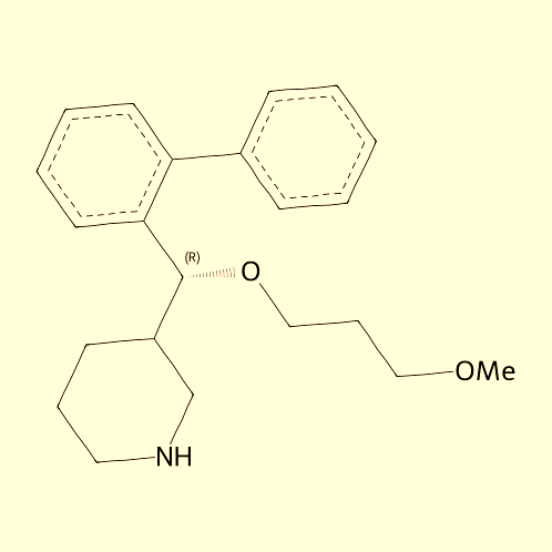 COCCCO[C@@H](c1ccccc1-c1ccccc1)C1CCCNC1